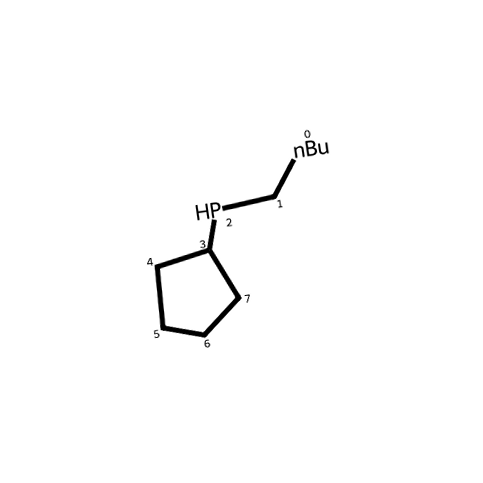 CCCCCPC1CCCC1